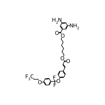 Nc1cc(N)cc(C(=O)OCCCCCCOC(=O)C=Cc2ccc(OC(F)(F)c3ccc(OCCC(F)(F)F)cc3)cc2)c1